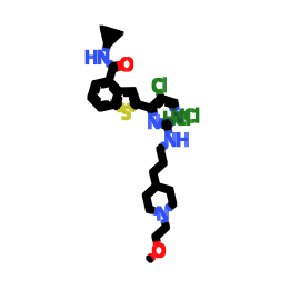 COCCN1CCC(CCCNc2ncc(Cl)c(-c3cc4c(C(=O)NC5CC5)cccc4s3)n2)CC1.Cl.Cl